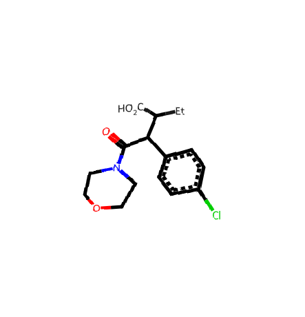 CCC(C(=O)O)C(C(=O)N1CCOCC1)c1ccc(Cl)cc1